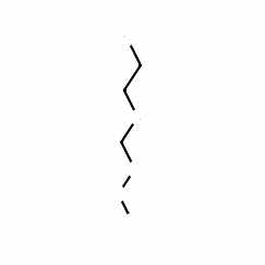 CO[SiH2]CNCCN